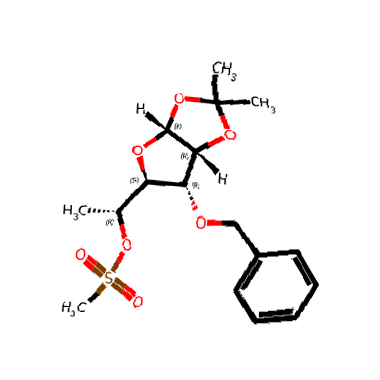 C[C@@H](OS(C)(=O)=O)[C@H]1O[C@@H]2OC(C)(C)O[C@@H]2[C@@H]1OCc1ccccc1